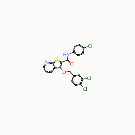 O=C(Nc1ccc(Cl)cc1)c1sc2ncccc2c1OCc1ccc(Cl)c(Cl)c1